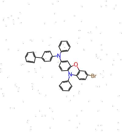 Brc1ccc2c(c1)Oc1cc(N(c3ccccc3)c3ccc(-c4ccccc4)cc3)ccc1N2c1ccccc1